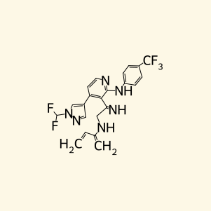 C=CC(=C)NCC(=N)c1c(-c2cnn(C(F)F)c2)ccnc1Nc1ccc(C(F)(F)F)cc1